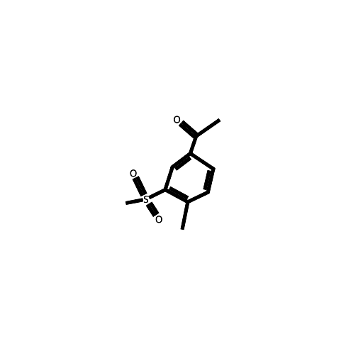 CC(=O)c1ccc(C)c(S(C)(=O)=O)c1